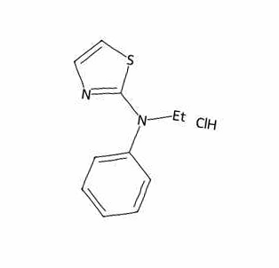 CCN(c1ccccc1)c1nccs1.Cl